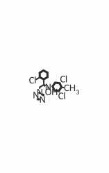 Cc1c(Cl)cccc1Cl.ON=C(Cn1cncn1)c1ccccc1Cl